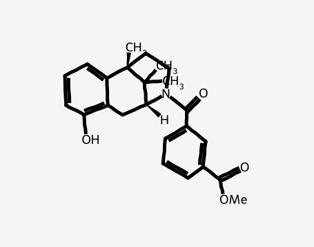 COC(=O)c1cccc(C(=O)N2CC[C@@]3(C)c4cccc(O)c4C[C@@H]2C3(C)C)c1